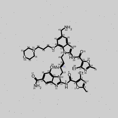 CCc1nc(C)oc1C(=O)Nc1nc2cc(C(N)=O)cc(OC)c2n1C/C=C/Cn1c(NC(=O)c2oc(C)nc2CC)nc2cc(CN)cc(OCCCN3CCOCC3)c21